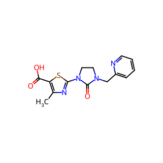 Cc1nc(N2CCN(Cc3ccccn3)C2=O)sc1C(=O)O